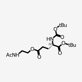 CC(=O)NCCOC(=O)CC[C@H](NC(=O)OC(C)(C)C)C(=O)OC(C)(C)C